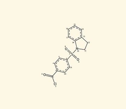 O=C(Cl)c1ccc(S(=O)(=O)N2CCc3ccccc32)cc1